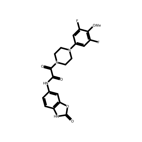 COc1c(F)cc(N2CCN(C(=O)C(=O)Nc3ccc4[nH]c(=O)oc4c3)CC2)cc1F